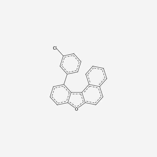 Clc1cccc(-c2cccc3oc4ccc5ccccc5c4c23)c1